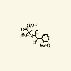 CCC(C)C(C)(NC(=O)C(Cl)c1ccccc1OC)C(=O)OC